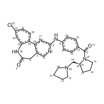 O=C1Cc2cnc(Nc3ccc(C(=O)N4CCC[C@H]4CN4CCCC4)cc3)nc2-c2ccc(Cl)cc2N1